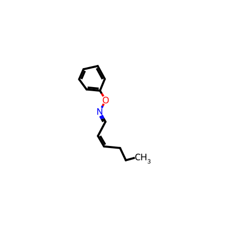 CCC/C=C\C=N\Oc1ccccc1